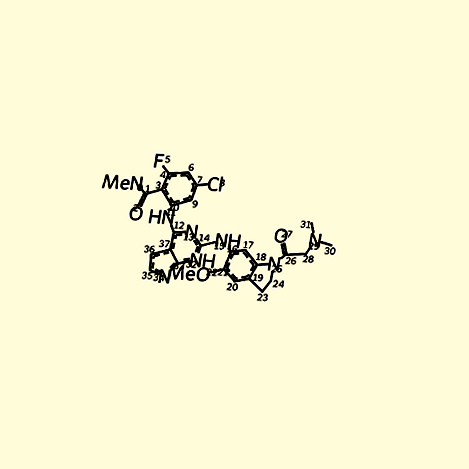 CNC(=O)c1c(F)cc(Cl)cc1Nc1nc(Nc2cc3c(cc2OC)CCN3C(=O)CN(C)C)[nH]c2nccc1-2